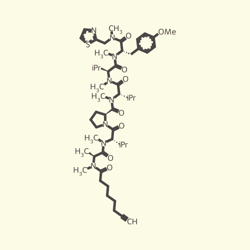 C#CCCCCCC(=O)N(C)[C@@H](C)C(=O)N(C)[C@H](C(=O)N1CCC[C@H]1C(=O)N(C)[C@H](C(=O)N(C)[C@H](C(=O)N(C)[C@@H](Cc1ccc(OC)cc1)C(=O)N(C)Cc1nccs1)C(C)C)C(C)C)C(C)C